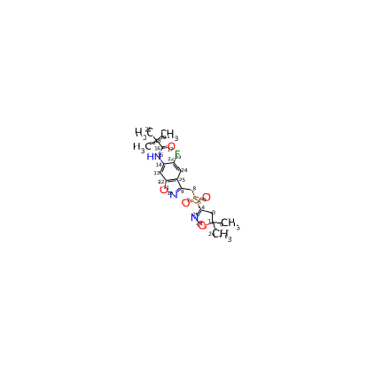 CC1(C)CC(S(=O)(=O)Cc2noc3cc(NC(=O)C(C)(C)C)c(F)cc23)=NO1